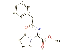 CC(C)(C)OC(=O)C(NC(=O)Cc1[c]cccc1)N1CCCC1